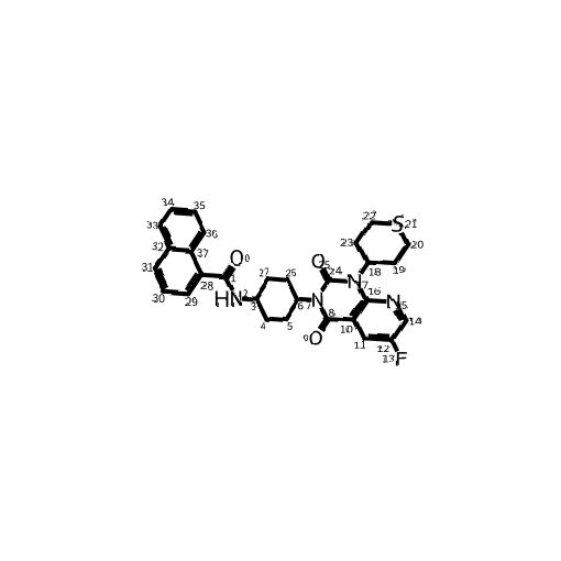 O=C(NC1CCC(n2c(=O)c3cc(F)cnc3n(C3CCSCC3)c2=O)CC1)c1cccc2ccccc12